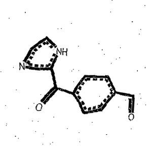 O=Cc1ccc(C(=O)c2ncc[nH]2)cc1